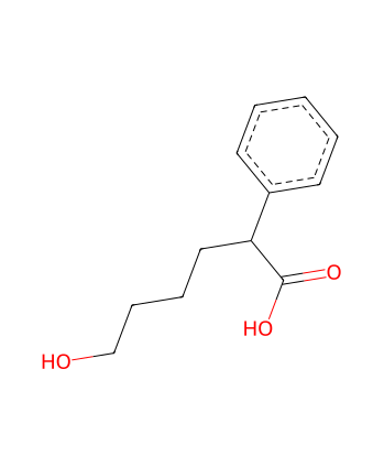 O=C(O)C(CCCCO)c1ccccc1